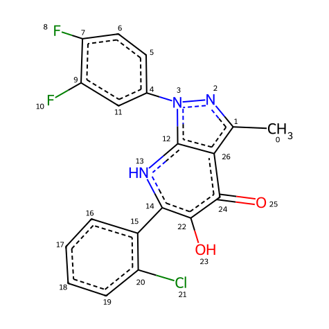 Cc1nn(-c2ccc(F)c(F)c2)c2[nH]c(-c3ccccc3Cl)c(O)c(=O)c12